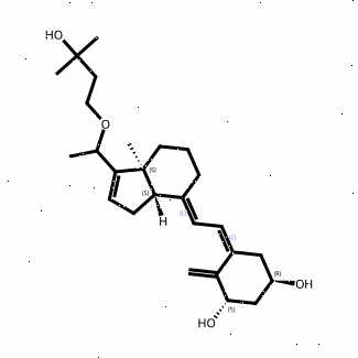 C=C1/C(=C\C=C2/CCC[C@]3(C)C(C(C)OCCC(C)(C)O)=CC[C@@H]23)C[C@@H](O)C[C@@H]1O